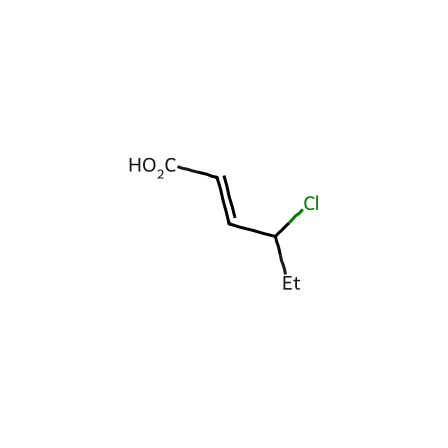 CCC(Cl)/C=C/C(=O)O